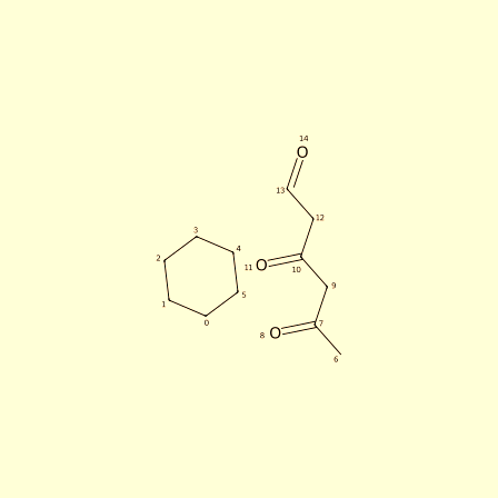 C1CCCCC1.CC(=O)CC(=O)CC=O